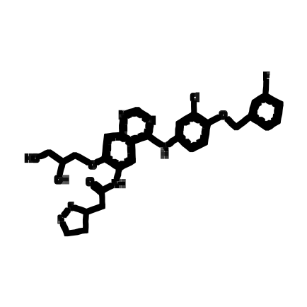 O=C(CC1CCSS1)Nc1cc2c(Nc3ccc(OCc4cccc(F)c4)c(Cl)c3)ncnc2cc1OCC(O)CO